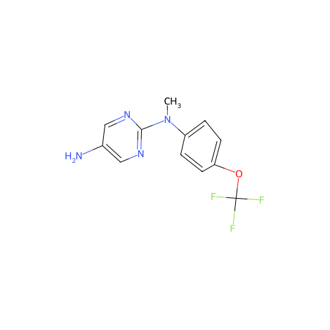 CN(c1ccc(OC(F)(F)F)cc1)c1ncc(N)cn1